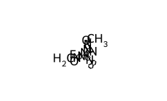 C=C(F)C(=O)N1CCN(c2nc(N3CCN(C(=O)CC)CC3)c(C#N)c3c2CCN(c2cccc4ccccc24)C3)CC1